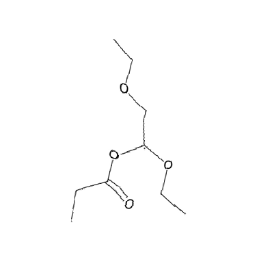 CCOC[C](OCC)OC(=O)CC